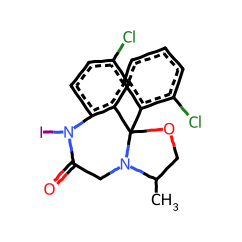 CC1COC2(c3ccccc3Cl)c3cc(Cl)ccc3N(I)C(=O)CN12